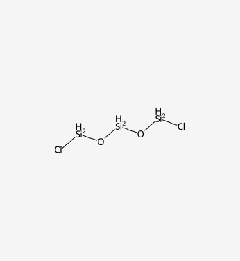 Cl[SiH2]O[SiH2]O[SiH2]Cl